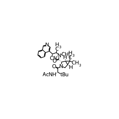 CC(=O)N[C@H](C(=O)N1C[C@H]2[C@@H]([C@H]1C(=O)N(C)C(C)[C@@H](C#N)c1cncc3ccccc13)C2(C)C)C(C)(C)C